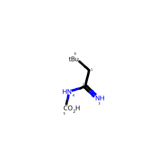 CC(C)(C)CC(=N)NC(=O)O